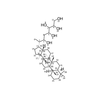 CC(C(O)CC(O)C(O)C(O)CO)[C@H]1CC[C@]2(C)[C@H]3CC[C@@H]4[C@@]5(C)CCCC(C)(C)[C@@H]5CC[C@@]4(C)[C@]3(C)CC[C@@H]12